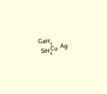 [Ag].[Cu].[GaH3].[SiH4]